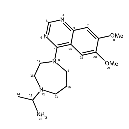 COc1cc2ncnc(N3CCCN(C(C)N)CC3)c2cc1OC